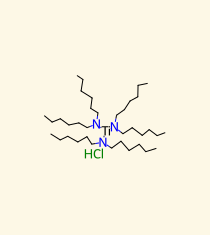 CCCCCC[N](CCCCCC)[Ti]([N](CCCCCC)CCCCCC)[N](CCCCCC)CCCCCC.Cl